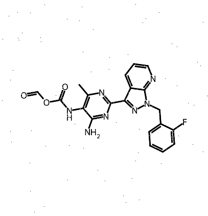 Cc1nc(-c2nn(Cc3ccccc3F)c3ncccc23)nc(N)c1NC(=O)OC=O